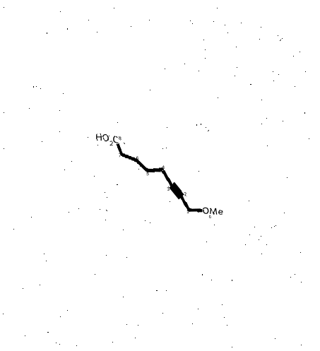 COCC#CCCCCC(=O)O